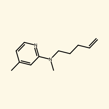 C=CCCCN(C)c1cc(C)ccn1